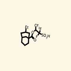 CCC1CC2CCCC(C(=O)OC(C(F)(F)F)C(F)(F)S(=O)(=O)O)(C1)C2